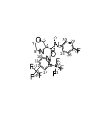 CN(C(=O)C1COCCN1c1cc(C(F)(F)F)cc(C(F)(F)F)n1)c1ccc(F)cc1